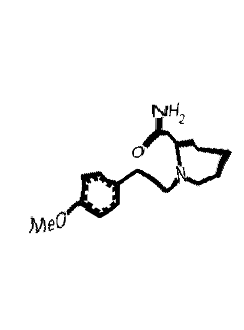 COc1ccc(CCN2CCCCC2C(N)=O)cc1